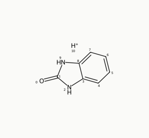 O=c1[nH]c2ccccc2[nH]1.[H+]